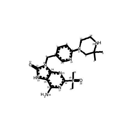 CC1(C)CN(c2ccc(Cn3c(=O)[nH]c4c(N)nc(P(C)(C)=O)nc43)cn2)CCN1